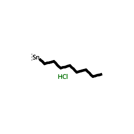 CCCCCCC[CH2][Sn].Cl